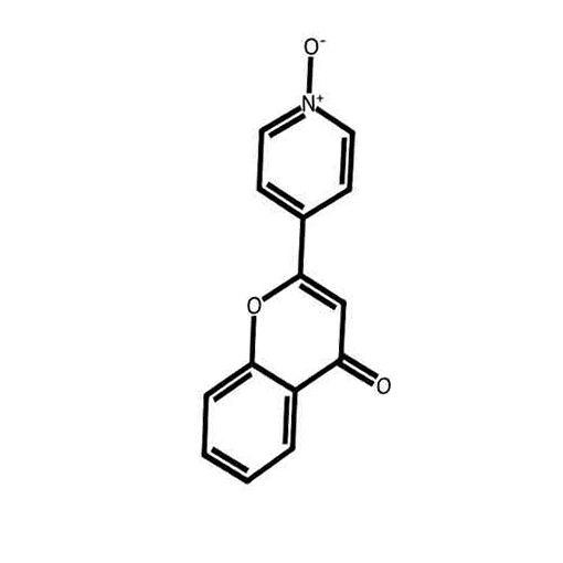 O=c1cc(-c2cc[n+]([O-])cc2)oc2ccccc12